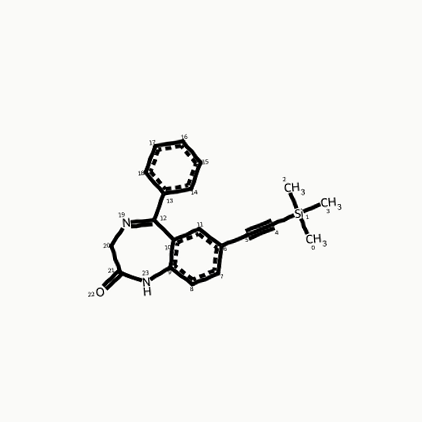 C[Si](C)(C)C#Cc1ccc2c(c1)C(c1ccccc1)=NCC(=O)N2